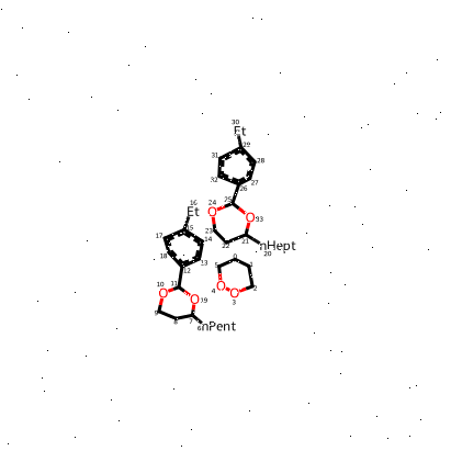 C1CCOOC1.CCCCCC1CCOC(c2ccc(CC)cc2)O1.CCCCCCCC1CCOC(c2ccc(CC)cc2)O1